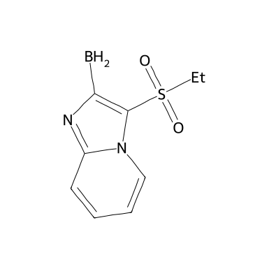 Bc1nc2ccccn2c1S(=O)(=O)CC